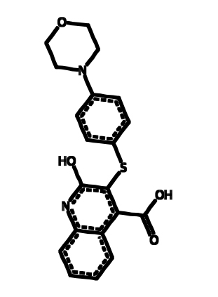 O=C(O)c1c(Sc2ccc(N3CCOCC3)cc2)c(O)nc2ccccc12